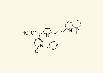 O=C(O)CC(c1ccc(=O)n(Cc2ccccc2)c1)n1ccc(CCCc2ccc3c(n2)NCCC3)n1